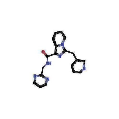 O=C(NCc1ncccn1)c1nc(Cc2cccnc2)n2ccccc12